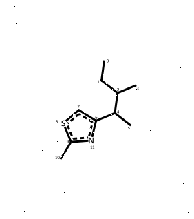 CCC(C)C(C)c1csc(C)n1